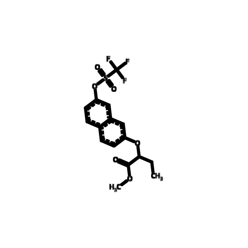 CCC(Oc1ccc2ccc(OS(=O)(=O)C(F)(F)F)cc2c1)C(=O)OC